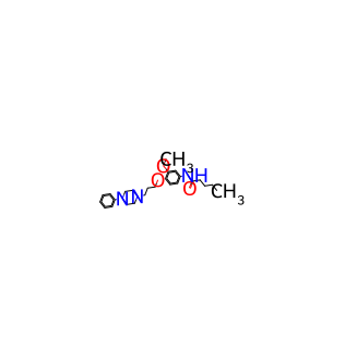 CCCCC(=O)Nc1ccc(OCCCN2CCN(c3ccccc3)CC2)c(OC)c1